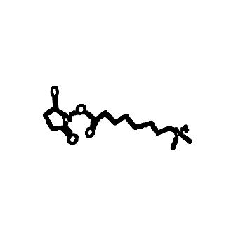 C[N+](C)(C)CCCCCCCC(=O)ON1C(=O)CCC1=O